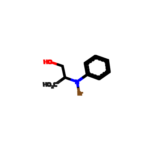 O=C(O)C(CO)N(Br)c1ccccc1